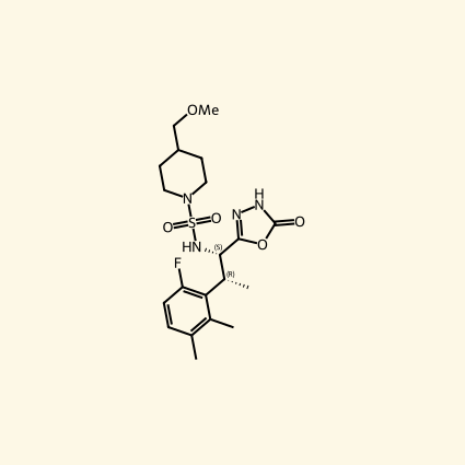 COCC1CCN(S(=O)(=O)N[C@H](c2n[nH]c(=O)o2)[C@H](C)c2c(F)ccc(C)c2C)CC1